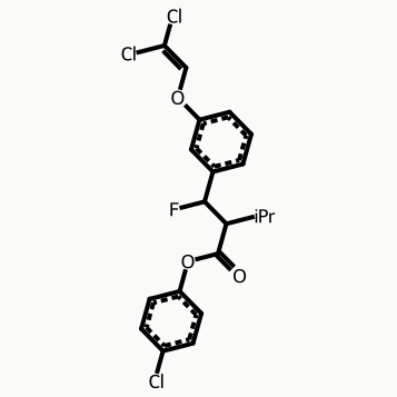 CC(C)C(C(=O)Oc1ccc(Cl)cc1)C(F)c1cccc(OC=C(Cl)Cl)c1